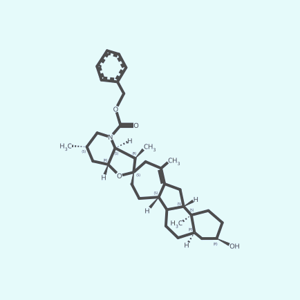 CC1=C2C[C@H]3C(CC[C@@H]4C[C@H](O)CC[C@@]43C)[C@@H]2CC[C@@]2(C1)O[C@@H]1C[C@H](C)CN(C(=O)OCc3ccccc3)[C@H]1[C@H]2C